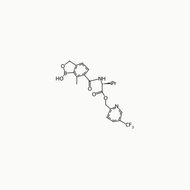 Cc1c(C(=O)N[C@H](C(=O)OCc2ccc(C(F)(F)F)cn2)C(C)C)ccc2c1B(O)OC2